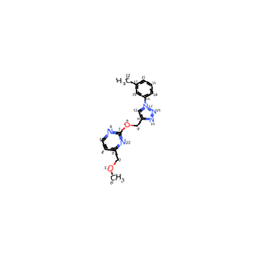 COCc1ccnc(OCc2cn(-c3cccc(C)c3)nn2)n1